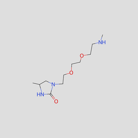 CNCCOCCOCCN1CC(C)NC1=O